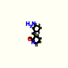 NC1CCCC(Cc2ccccnc2=O)C1